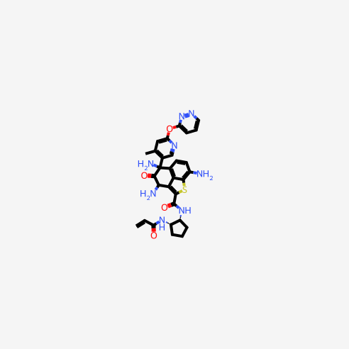 C=CC(=O)N[C@H]1CCC[C@H]1NC(=O)c1sc2c(N)ccc3c2c1C(N)C(=O)C3(N)c1cnc(Oc2cccnn2)cc1C